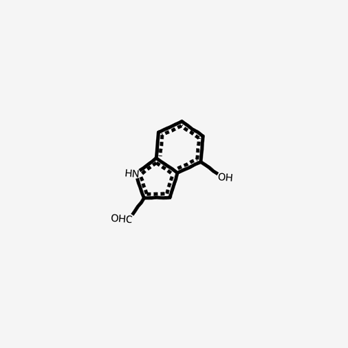 O=Cc1cc2c(O)cccc2[nH]1